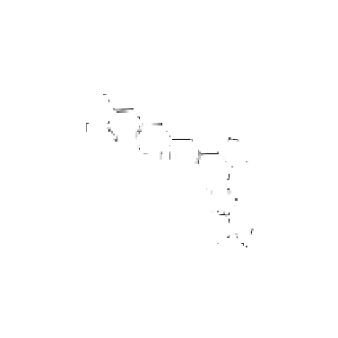 N[C@@H](CC(=O)N1CCC[C@H]1c1nc(C2(F)CC2)co1)Cc1cc(F)c(F)cc1F